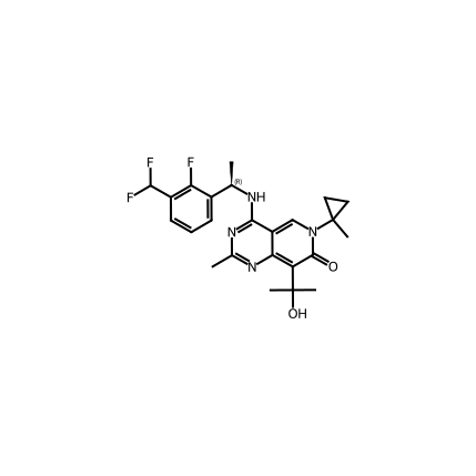 Cc1nc(N[C@H](C)c2cccc(C(F)F)c2F)c2cn(C3(C)CC3)c(=O)c(C(C)(C)O)c2n1